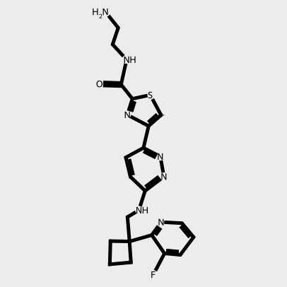 NCCNC(=O)c1nc(-c2ccc(NCC3(c4ncccc4F)CCC3)nn2)[c]s1